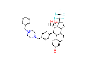 C[C@]12C[C@H](c3ccc(CN4CCN(Cc5ccccc5)CC4)cc3)C3C4CCC(=O)C=C4CCC3C1CC[C@@]2(O)C(F)(F)C(F)(F)F